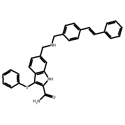 NC(=O)c1[nH]c2cc(CNCc3ccc(C=Cc4ccccc4)cc3)ccc2c1Sc1ccccc1